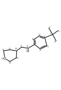 CC(C)(C)c1ccc(NCC2CCOCC2)cc1